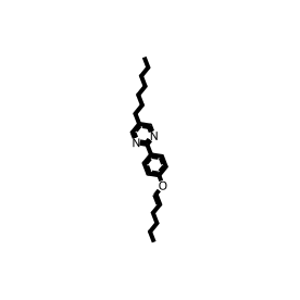 CCCCC=COc1ccc(-c2ncc(CCCCCCC)cn2)cc1